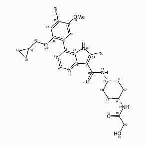 COc1cc(-c2ncnc3c(C(=O)N[C@H]4CC[C@@H](NC(=O)CO)CC4)c(C)[nH]c23)c(OCC2CC2)cc1F